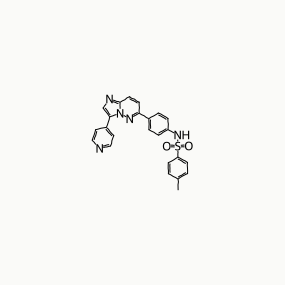 Cc1ccc(S(=O)(=O)Nc2ccc(-c3ccc4ncc(-c5ccncc5)n4n3)cc2)cc1